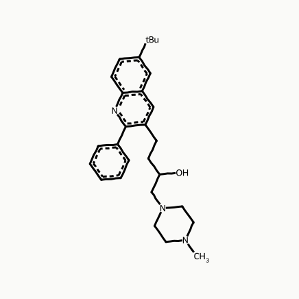 CN1CCN(CC(O)CCc2cc3cc(C(C)(C)C)ccc3nc2-c2ccccc2)CC1